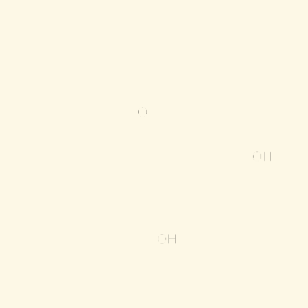 Oc1cc(O)c2c(c1)Oc1ccccc1CC2